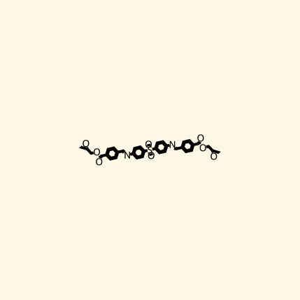 O=C(OCC1CO1)c1ccc(C=Nc2ccc(S(=O)(=O)c3ccc(N=Cc4ccc(C(=O)OCC5CO5)cc4)cc3)cc2)cc1